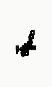 Cc1nc(N[C@@H](C)c2cn(-c3ccc(Cl)cc3)cn2)nc(N2C(=O)OC[C@H]2[C@H](C)C(F)F)n1